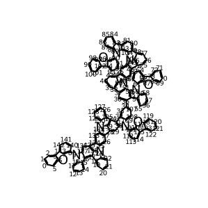 c1ccc2c(c1)oc1c(-n3c4ccccc4c4c5c6ccccc6n6c7cc8c9cc%10c(c%11cc(-c%12cc%13c%14cccc%15c%16cc%17c(cc%16n(c%15%14)c%13c%13c%12c%12ccccc%12n%13-c%12cccc%13c%12oc%12ccccc%12%13)c%12cccc%13c%14ccc%15c%16ccccc%16n(-c%16cccc%18c%16oc%16ccccc%16%18)c%15c%14n%17c%12%13)ccc%11n%10-c%10cccc%11c%10oc%10ccccc%10%11)c%10c%11ccccc%11n(c8cc7c(cc43)c56)c9%10)cccc12